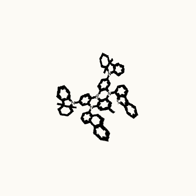 Cc1cc2c3c(c1)N(c1cccc4c1sc1ccccc14)c1cc(N4c5ccccc5C5(C)CCCCC45C)ccc1B3c1ccc(N3c4ccccc4C4(C)CCCCC34C)cc1N2c1cccc2c1CCc1ccccc1-2